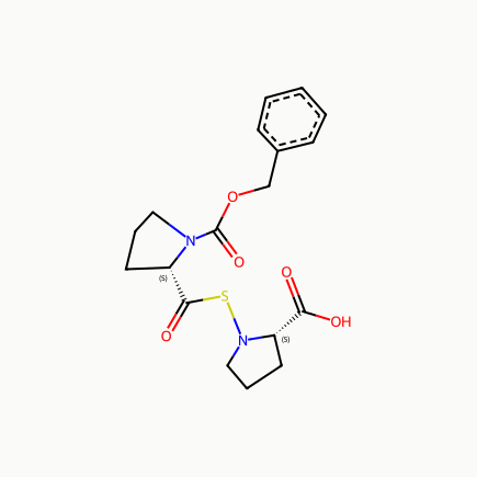 O=C(O)[C@@H]1CCCN1SC(=O)[C@@H]1CCCN1C(=O)OCc1ccccc1